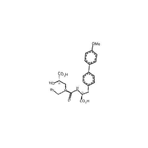 COc1ccc(-c2ccc(C[C@H](NC(=O)N(CC(C)C)C[C@H](O)C(=O)O)C(=O)O)cc2)cc1